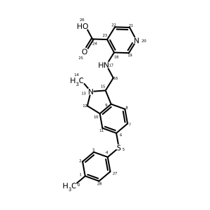 Cc1ccc(Sc2ccc3c(c2)CN(C)C3CNc2cnccc2C(=O)O)cc1